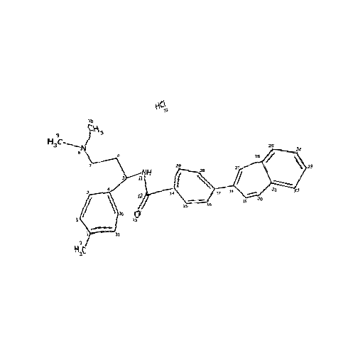 Cc1ccc(C(CCN(C)C)NC(=O)c2ccc(-c3ccc4ccccc4c3)cc2)cc1.Cl